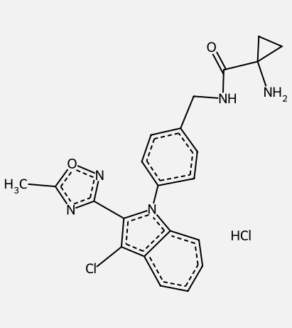 Cc1nc(-c2c(Cl)c3ccccc3n2-c2ccc(CNC(=O)C3(N)CC3)cc2)no1.Cl